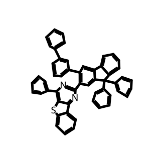 c1ccc(-c2cccc(-c3cc4c(cc3-c3nc(-c5ccccc5)c5sc6ccccc6c5n3)C(c3ccccc3)(c3ccccc3)c3ccccc3-4)c2)cc1